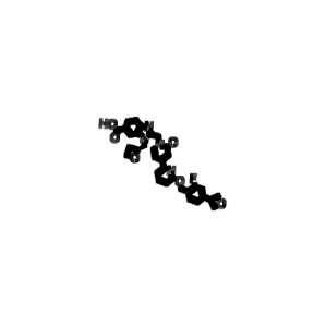 O=C(O)c1ccc2nc(Cn3ccc(-c4cccc(OCc5ccc(C6COC6)cc5F)n4)cc3=O)n(C[C@@H]3CCO3)c2c1